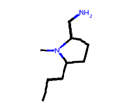 CCCC1CCC(CN)N1C